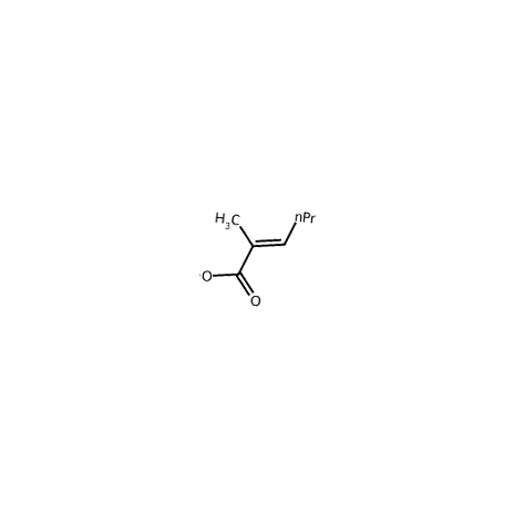 CCC/C=C(\C)C([O])=O